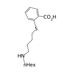 CCCCCCNCCCCSc1ccccc1C(=O)O